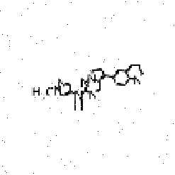 Cn1cc(Nc2ncc3c(-c4ccc5ncccc5c4)ccn3n2)cn1